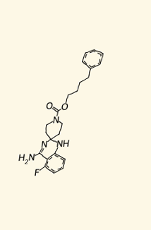 NC1=NC2(CCN(C(=O)OCCCCc3ccccc3)CC2)Nc2cccc(F)c21